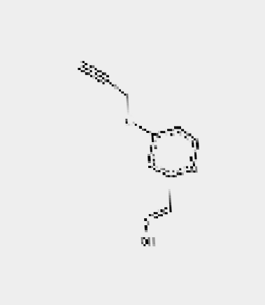 C#CCOc1ccnc(/C=N/O)c1